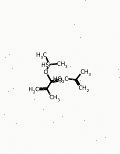 C=C(C)C(=O)O.C=C(C)C(=O)O[SiH](C)C